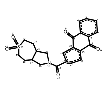 O=C1c2ccccc2C(=O)c2cc(C(=O)N3CC4CCS(=O)(=O)CCC4C3)ccc21